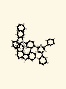 c1ccc(-c2nc(-c3ccccc3)nc(-c3ccc(-n4c5ccccc5c5cc6ccccc6cc54)cc3-c3cccc4oc5ccc6ccccc6c5c34)n2)cc1